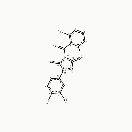 O=C(c1c(F)cccc1F)n1c(=O)on(-c2ccc(Cl)c(Cl)c2)c1=O